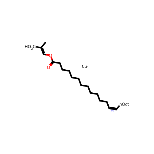 CCCCCCCC/C=C\CCCCCCCCCCCC(=O)OC=C(C)C(=O)O.[Cu]